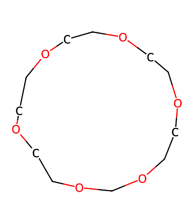 C1COCCOCCOCOCCOCCO1